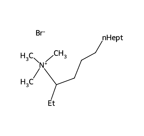 CCCCCCCCCCC(CC)[N+](C)(C)C.[Br-]